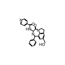 O=C(NC1N=C(c2ccccc2)c2cc(CO)cc3c2N(CC3)C1=O)c1ccncc1